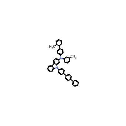 CC1C=CC=C(N(c2ccc(C3C=CC=CC3C)cc2)c2ccc3c4ccccc4n(-c4ccc(-c5ccc(-c6ccccc6)cc5)cc4)c3c2)C1